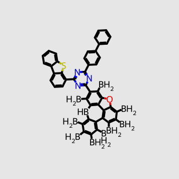 Bc1c(B)c(B)c2c(c1B)Bc1c(B)c(-c3nc(-c4ccc(-c5ccccc5)cc4)nc(-c4cccc5c4sc4ccccc45)n3)c(B)c3oc4c(B)c(B)c(B)c-2c4c13